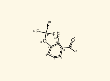 CC(=O)c1cccc(OC(F)(F)F)c1F